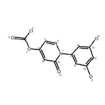 O=C(Cl)Oc1cnn(-c2cc(Cl)cc(Cl)c2)c(=O)c1